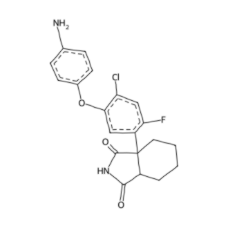 Nc1ccc(Oc2cc(C34CCCCC3C(=O)NC4=O)c(F)cc2Cl)cc1